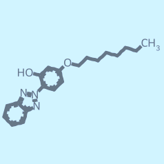 CCCCCCCCOc1ccc(-n2nc3ccccc3n2)c(O)c1